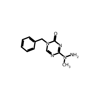 CN(N)c1ncn(Cc2ccccc2)c(=O)n1